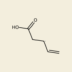 C=C[CH]CC(=O)O